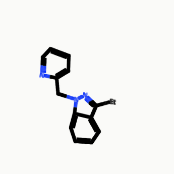 [CH2]Cc1nn(Cc2ccccn2)c2ccccc12